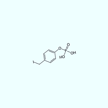 O=P(O)(O)Oc1ccc(CI)cc1